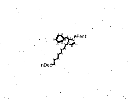 CCCCCCCCCCCCCCCCCCN1C=CN(CCCCC)C1Cc1ccccc1